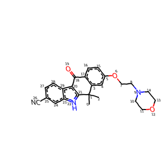 CC1(C)c2cc(OCCN3CCOCC3)ccc2C(=O)c2c1[nH]c1cc(C#N)ccc21